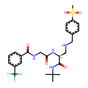 CC(C)(C)NC(=O)[C@H](CNCc1ccc(S(C)(=O)=O)cc1)NC(=O)CNC(=O)c1cccc(C(F)(F)F)c1